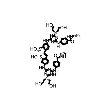 CCCNC(=O)c1ccc(Nc2nc(Nc3ccc(/C=C/c4ccc(Nc5nc(Nc6ccc(C(=O)NCCC)cc6)nc(N(CCO)CCO)n5)cc4S(=O)(=O)O)c(S(=O)(=O)O)c3)nc(N(CCO)CCO)n2)cc1